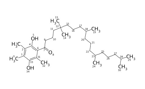 Cc1c(C)c(O)c(C(=O)CCCC(C)(C)CCCC(C)CCCC(C)CCCC(C)C)c(C)c1O